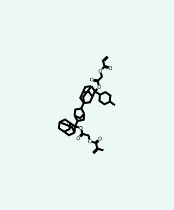 C=CC(=O)OCC(=O)OC1(C2CCC(C)CC2)C2CC3CC1CC(C1CC4CC1CC4C1(OC(=O)COC(=O)C(=C)C)C4CC5CC(C4)CC1C5)(C3)C2